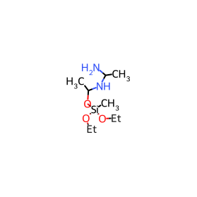 CCO[Si](C)(OCC)OC(C)NC(C)N